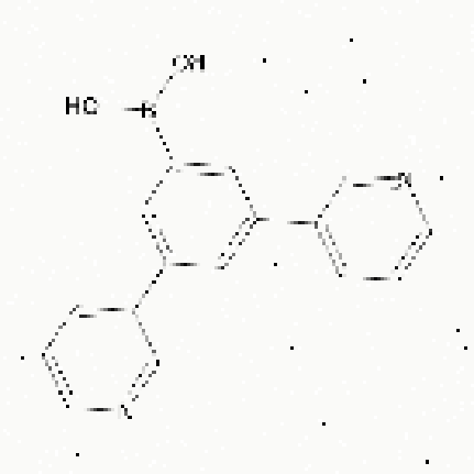 OB(O)c1cc(-c2cccnc2)cc(-c2cccnc2)c1